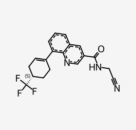 N#CCNC(=O)c1cnc2c(C3=CC[C@@H](C(F)(F)F)CC3)cccc2c1